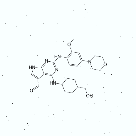 COc1cc(N2CCOCC2)ccc1Nc1nc(NC2CCC(CO)CC2)c2c(C=O)c[nH]c2n1